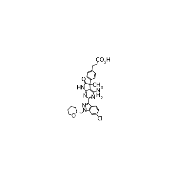 CC1(c2ccc(CCC(=O)O)cc2)C(=O)Nc2nc(-c3nn(C[C@H]4CCCCO4)c4cc(Cl)ccc34)nc(N)c21